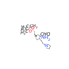 CC1(C)OB(CC[C@@H]2CCC(CCN3CCCC3)C(N)(C=O)C2)OC1(C)C